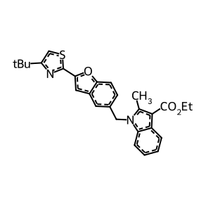 CCOC(=O)c1c(C)n(Cc2ccc3oc(-c4nc(C(C)(C)C)cs4)cc3c2)c2ccccc12